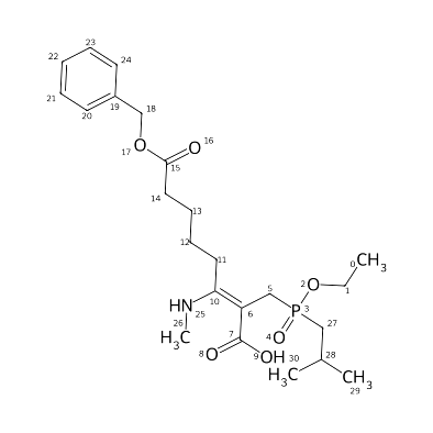 CCOP(=O)(CC(C(=O)O)=C(CCCCC(=O)OCc1ccccc1)NC)CC(C)C